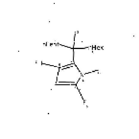 CCCCCCC(C)(CCCCC)c1c(I)cc(F)n1C